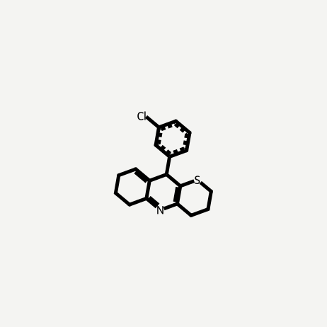 Clc1cccc(C2C3=CCCCC3=NC3=C2SCCC3)c1